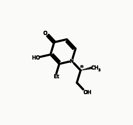 CCc1c(O)c(=O)ccn1[C@H](C)CO